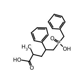 CC(CC(CP(=O)(O)Cc1ccccc1)c1ccccc1)C(=O)O